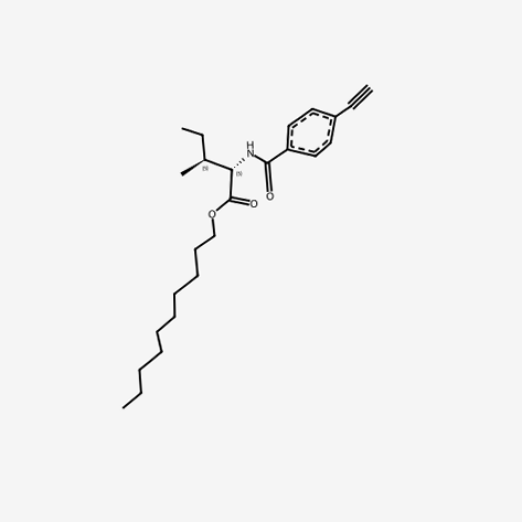 C#Cc1ccc(C(=O)N[C@H](C(=O)OCCCCCCCCCC)[C@@H](C)CC)cc1